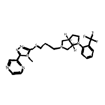 Cn1c(SCCCN2C[C@@H]3CCN(c4ccccc4C(F)(F)F)[C@@H]3C2)nnc1-c1cnccn1